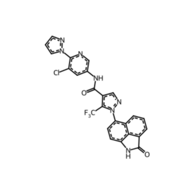 O=C(Nc1cnc(-n2cccn2)c(Cl)c1)c1cnn(-c2ccc3c4c(cccc24)C(=O)N3)c1C(F)(F)F